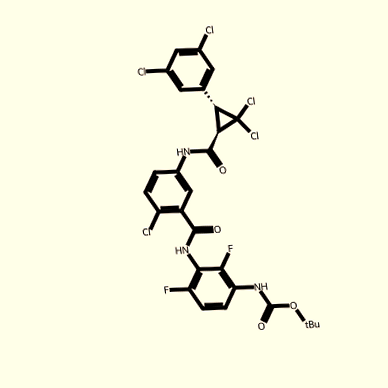 CC(C)(C)OC(=O)Nc1ccc(F)c(NC(=O)c2cc(NC(=O)[C@H]3[C@H](c4cc(Cl)cc(Cl)c4)C3(Cl)Cl)ccc2Cl)c1F